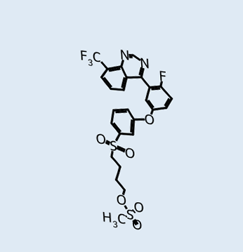 CS(=O)(=O)OCCCCS(=O)(=O)c1cccc(Oc2ccc(F)c(-c3ncnc4c(C(F)(F)F)cccc34)c2)c1